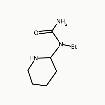 CCN(C(N)=O)C1CCCCN1